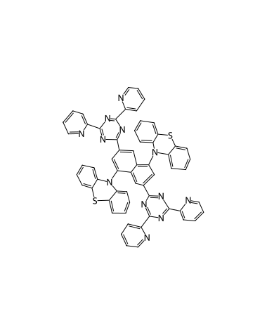 c1ccc(-c2nc(-c3cc(N4c5ccccc5Sc5ccccc54)c4cc(-c5nc(-c6ccccn6)nc(-c6ccccn6)n5)cc(N5c6ccccc6Sc6ccccc65)c4c3)nc(-c3ccccn3)n2)nc1